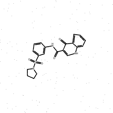 O=C(Nc1cccc(S(=O)(=O)N2CCCC2)c1)c1c[nH]c2ccccc2c1=O